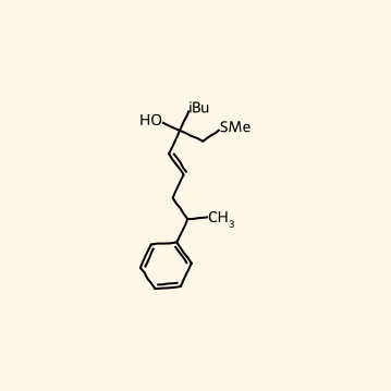 CCC(C)C(O)(C=CCC(C)c1ccccc1)CSC